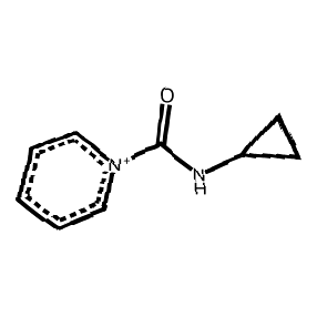 O=C(NC1CC1)[n+]1ccccc1